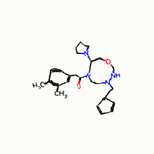 Cc1ccc(CC(=O)N2CCN(Cc3ccccc3)NCOC[C@H](N3CCCC3)C2)cc1C